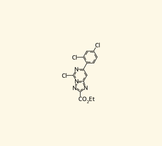 CCOC(=O)c1nc2cc(-c3ccc(Cl)cc3Cl)nc(Cl)n2n1